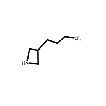 FC(F)(F)CC[CH]C1CNC1